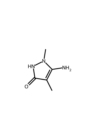 Cc1c(N)n(C)[nH]c1=O